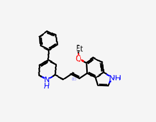 CCOc1ccc2[nH]ccc2c1/C=C/CC1CC(c2ccccc2)=CCN1